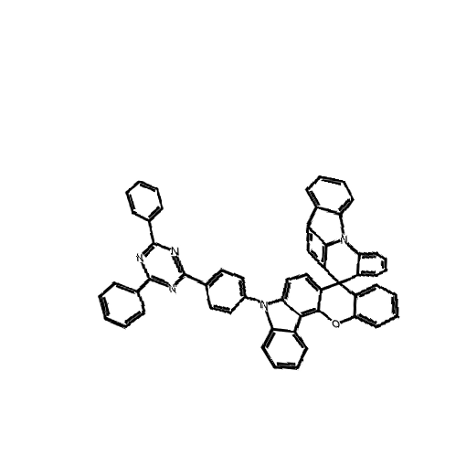 c1ccc(-c2nc(-c3ccccc3)nc(-c3ccc(-n4c5ccccc5c5c6c(ccc54)C4(c5ccccc5O6)c5ccccc5-n5c6ccccc6c6cccc4c65)cc3)n2)cc1